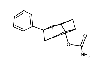 NC(=O)OC12C3C4C1C1C2C3C41c1ccccc1